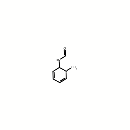 CN1C=CC=CC1NC=O